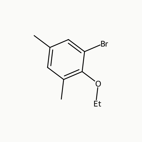 CCOc1c(C)cc(C)cc1Br